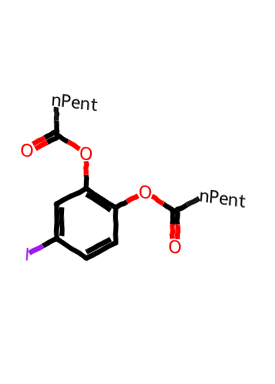 CCCCCC(=O)Oc1ccc(I)cc1OC(=O)CCCCC